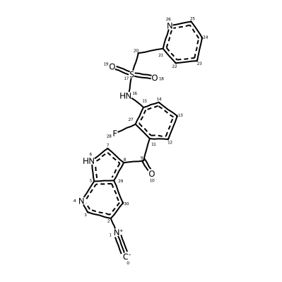 [C-]#[N+]c1cnc2[nH]cc(C(=O)c3cccc(NS(=O)(=O)Cc4ccccn4)c3F)c2c1